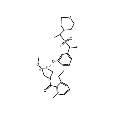 CCc1cccc(C)c1C(=O)N1C[C@@H](OC)[C@H](Oc2cccc(C(F)S(=O)(=O)N(C)C3CCOCC3)c2)C1